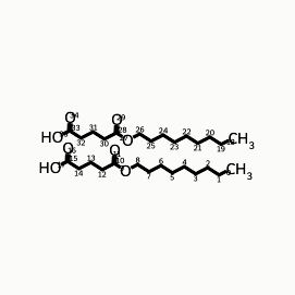 CCCCCCCCCOC(=O)CCCC(=O)O.CCCCCCCCCOC(=O)CCCC(=O)O